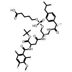 COc1c(I)cc(I)c(C(=O)NC(CC(=O)N[C@H](CNC(=O)[C@@H](C)c2ccc(CC(C)C)cc2)COP(=O)(O)OCCCCC(=O)O)C(=O)OC(C)(C)C)c1I